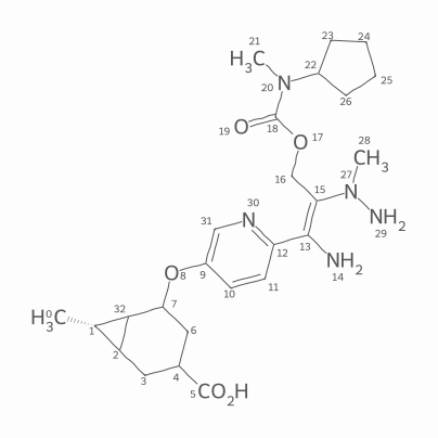 C[C@H]1C2CC(C(=O)O)CC(Oc3ccc(/C(N)=C(\COC(=O)N(C)C4CCCC4)N(C)N)nc3)C21